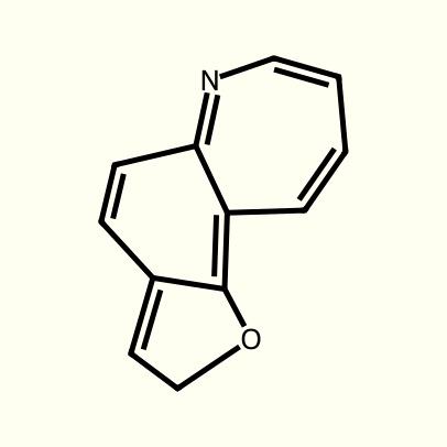 C1=CN=c2ccc3c(c2C=C1)OCC=3